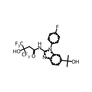 CC(C)(O)c1ccc2nc(NC(=O)CC(O)(C(F)(F)F)C(F)(F)F)n(-c3ccc(F)cc3)c2c1